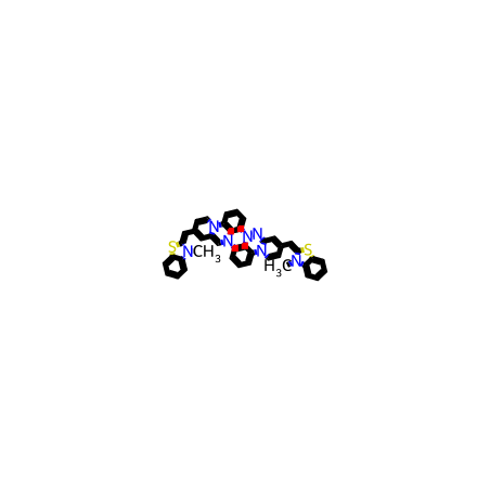 CN1/C(=C\C2=CC(=C/N3CCN(/N=c4/cc(/C=C5/Sc6ccccc6N5C)ccn4-c4ccccc4)CC3)/N(c3ccccc3)C=C2)Sc2ccccc21